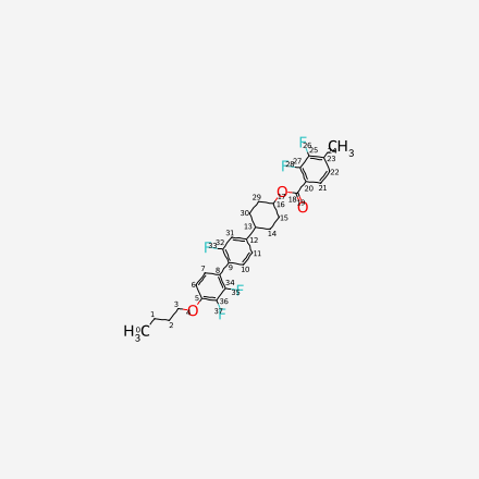 CCCCOc1ccc(-c2ccc(C3CCC(OC(=O)c4ccc(C)c(F)c4F)CC3)cc2F)c(F)c1F